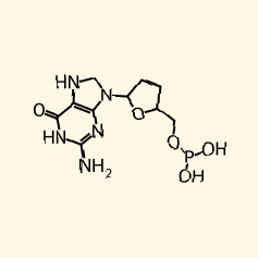 Nc1nc2c(c(=O)[nH]1)NCN2C1CCC(COP(O)O)O1